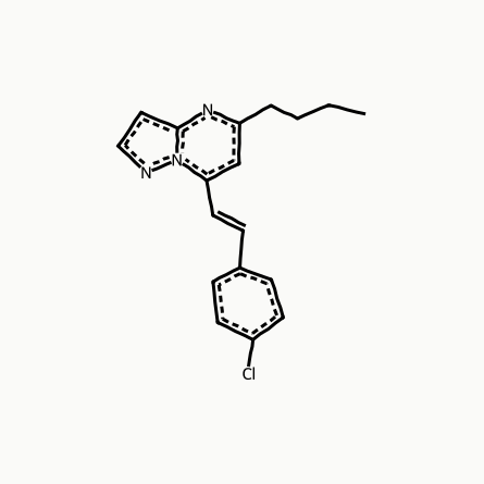 CCCCc1cc(C=Cc2ccc(Cl)cc2)n2nccc2n1